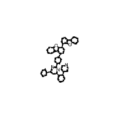 c1ccc(-c2cc(-c3ccccc3-c3ccncc3)nc(-c3ccc(-c4ccc(-c5cccc6c5oc5ccccc56)c5oc6ccccc6c45)cc3)n2)cc1